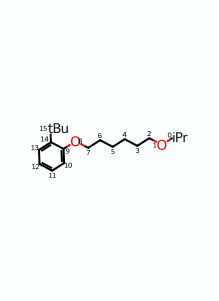 CC(C)OCCCCCCOc1ccccc1C(C)(C)C